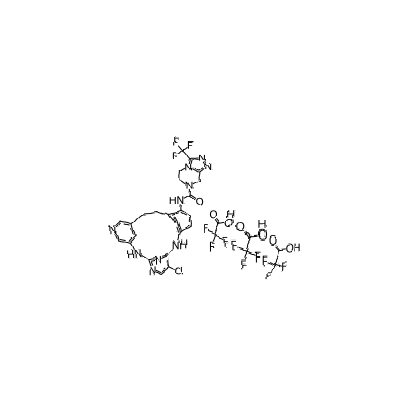 O=C(Nc1ccc2cc1CCc1cncc(c1)Nc1ncc(Cl)c(n1)N2)N1CCn2c(nnc2C(F)(F)F)C1.O=C(O)C(F)(F)F.O=C(O)C(F)(F)F.O=C(O)C(F)(F)F